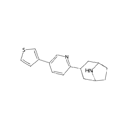 c1cc(-c2ccc(C3CC4CCC(C3)N4)nc2)cs1